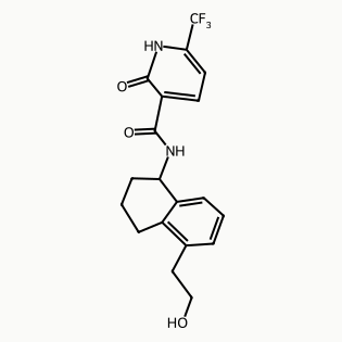 O=C(NC1CCCc2c(CCO)cccc21)c1ccc(C(F)(F)F)[nH]c1=O